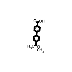 COC(C)c1ccc(-c2ccc(C(=O)O)cc2)cc1